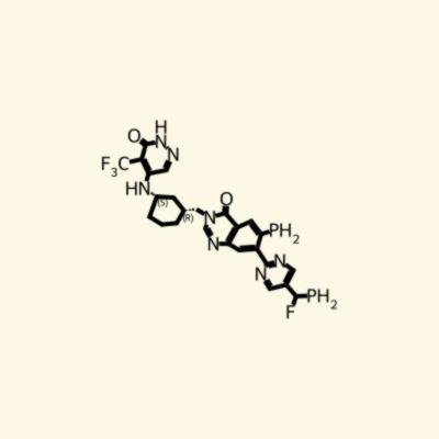 O=c1[nH]ncc(N[C@H]2CCC[C@@H](Cn3cnc4cc(-c5ncc(C(F)P)cn5)c(P)cc4c3=O)C2)c1C(F)(F)F